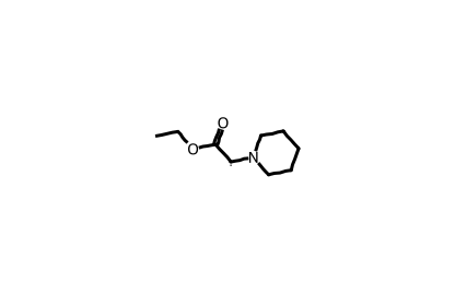 CCOC(=O)[CH]N1CCCCC1